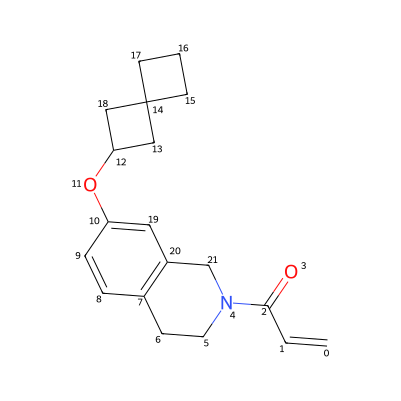 C=CC(=O)N1CCc2ccc(OC3CC4(CCC4)C3)cc2C1